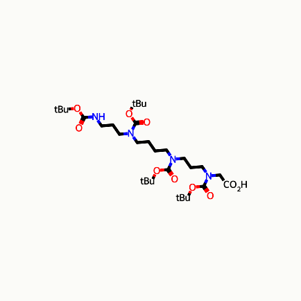 CC(C)(C)OC(=O)NCCCN(CCCCN(CCCN(CC(=O)O)C(=O)OC(C)(C)C)C(=O)OC(C)(C)C)C(=O)OC(C)(C)C